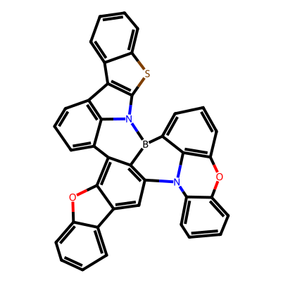 c1ccc2c(c1)Oc1cccc3c1N2c1cc2c(oc4ccccc42)c2c1B3n1c3sc4ccccc4c3c3cccc-2c31